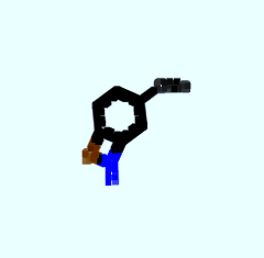 COc1ccc2s[nH]c2c1